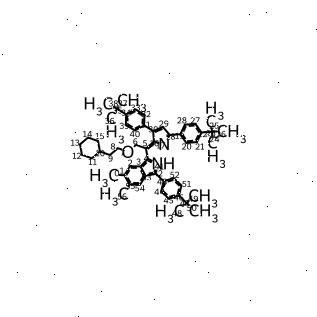 Cc1cc2c(/C(COCCC3CCCCC3)=C3\N=C(c4ccc(C(C)(C)C)cc4)C=C3c3ccc(C(C)(C)C)cc3)[nH]c(-c3ccc(C(C)(C)C)cc3)c2cc1C